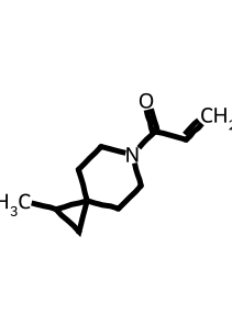 C=CC(=O)N1CCC2(CC1)CC2C